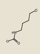 [O]C(=O)NCCCCCl